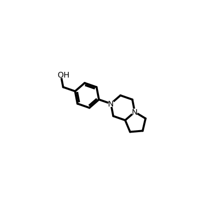 OCc1ccc(N2CCN3CCCC3C2)cc1